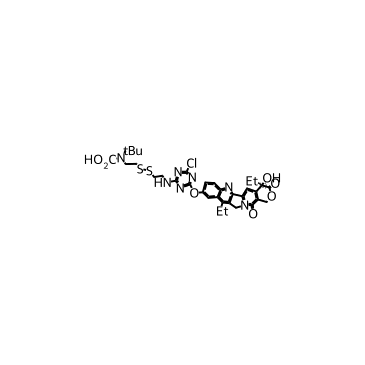 CCc1c2c(nc3ccc(Oc4nc(Cl)nc(NCCSSCCN(C(=O)O)C(C)(C)C)n4)cc13)-c1cc3c(c(=O)n1C2)COC(=O)[C@]3(O)CC